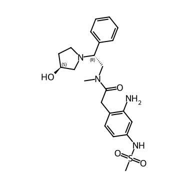 CN(C[C@@H](c1ccccc1)N1CC[C@H](O)C1)C(=O)Cc1ccc(NS(C)(=O)=O)cc1N